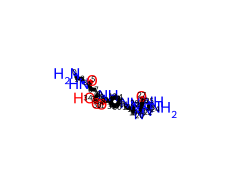 NCCNC(=O)CC[C@H](NC(=O)c1ccc(NCc2cnc3nc(N)[nH]c(=O)c3n2)cc1)C(=O)O